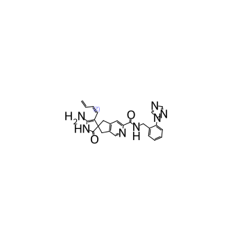 C=C/C=C\C1=C(N)NC(=O)C12Cc1cnc(C(=O)NCc3ccccc3-n3cncn3)cc1C2